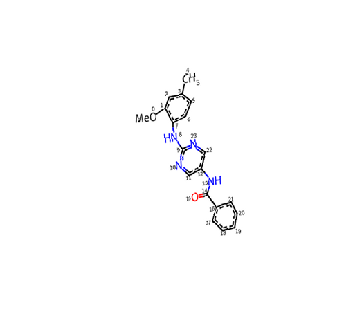 COc1cc(C)ccc1Nc1ncc(NC(=O)c2ccccc2)cn1